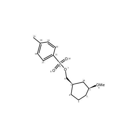 CO[C@H]1CCC[C@@H](COS(=O)(=O)c2ccc(C)cc2)C1